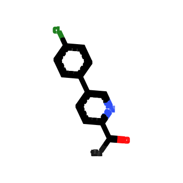 CC(C)(C)C(=O)c1ccc(-c2ccc(Cl)cc2)cn1